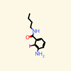 CCCCNC(=O)c1cccc(N)c1I